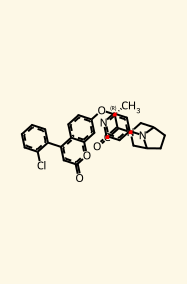 C[C@@H](Oc1ccc2c(-c3ccccc3Cl)cc(=O)oc2c1)C(=C=O)N1CC2CCC(C1)N2c1ccncc1